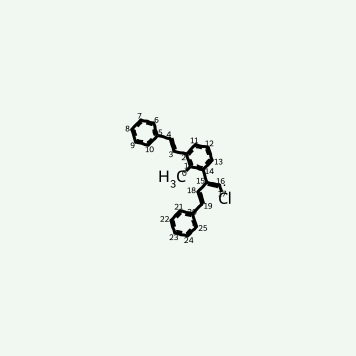 Cc1c(C=Cc2ccccc2)cccc1C(=[C]Cl)C=Cc1ccccc1